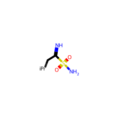 CC(C)CC(=N)S(N)(=O)=O